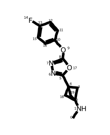 CNC12CC(c3nnc(Oc4ccc(F)cc4)o3)(C1)C2